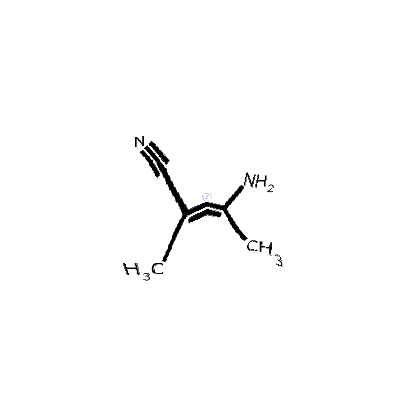 C/C(N)=C(\C)C#N